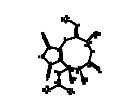 CC=C1CC2=C(C(=O)OC2=O)[C@](CCC)(O[SiH](C)C)[C@@H](O)C(=O)C[C@@H]1C(C)(C)C